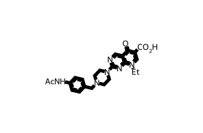 CCn1cc(C(=O)O)c(=O)c2cnc(N3CCN(Cc4ccc(NC(C)=O)cc4)CC3)nc21